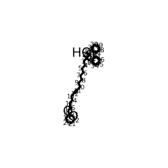 CC(C)(CCCCCCCCC#CCCCCOC1CCCCO1)[Si](O)(c1ccccc1)c1ccccc1